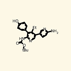 CCc1c(-c2ccc(N)nc2)cnc(NC(=O)OC(C)(C)C)c1-c1ccc(O)cc1